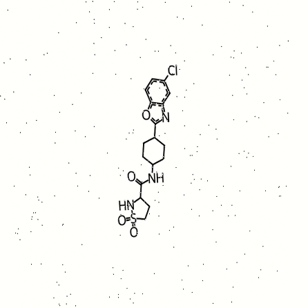 O=C(NC1CCC(c2nc3cc(Cl)ccc3o2)CC1)C1CCS(=O)(=O)N1